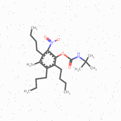 CCCCc1[c]([SnH3])c(CCCC)c([N+](=O)[O-])c(OC(=O)NC(C)(C)C)c1CCCC